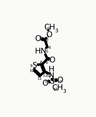 COC(=O)CNC(=O)c1sccc1NS(C)(=O)=O